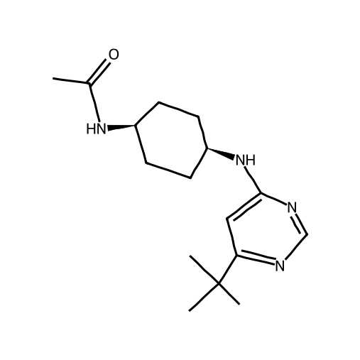 CC(=O)N[C@H]1CC[C@@H](Nc2cc(C(C)(C)C)ncn2)CC1